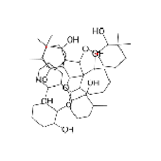 CC1CCCC(OC(C2CCCC(C)C2O)C2(C(OC3CCCC(C)(C)C3O)C3CCCC(C)(C)C3O)[C](O)CCCCC2C(OC2CCCCC2O)C2CCCCC2O)C1O